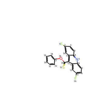 Fc1ccc2nc3ccc(F)cc3c(C(=S)Oc3ccccc3)c2c1